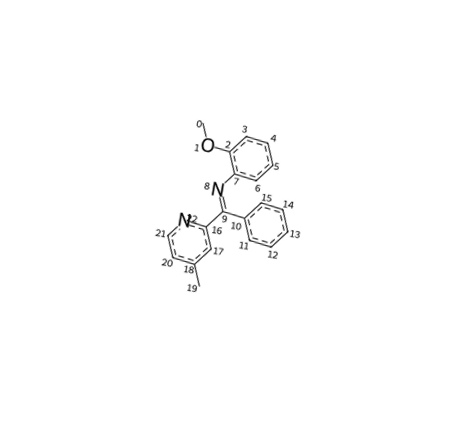 COc1ccccc1N=C(c1ccccc1)c1cc(C)ccn1